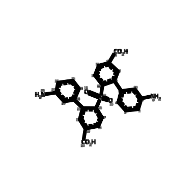 Nc1cccc(-c2cc(C(=O)O)ccc2S(=O)(=O)c2ccc(C(=O)O)cc2-c2cccc(N)c2)c1